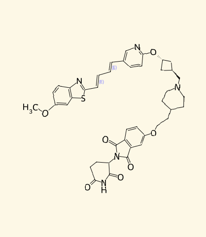 COc1ccc2nc(/C=C/C=C/c3ccc(O[C@H]4C[C@H](CN5CCC(CCOc6ccc7c(c6)C(=O)N(C6CCC(=O)NC6=O)C7=O)CC5)C4)nc3)sc2c1